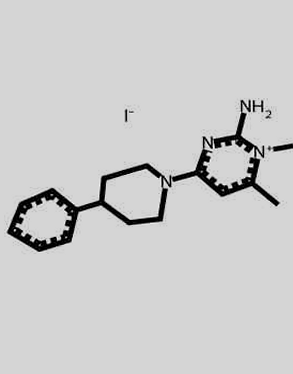 Cc1cc(N2CCC(c3ccccc3)CC2)nc(N)[n+]1C.[I-]